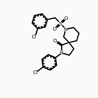 O=C1N(c2ccc(Cl)cc2)CCC12CCCN(S(=O)(=O)Cc1cccc(Cl)c1)C2